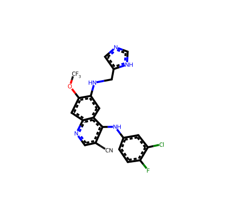 N#Cc1cnc2cc(OC(F)(F)F)c(NCc3cnc[nH]3)cc2c1Nc1ccc(F)c(Cl)c1